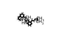 CN(C)CCCc1cccc2[nH]c(CN(C)C3CCCc4cccnc43)nc12